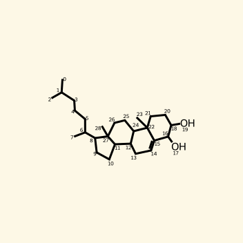 CC(C)CCCC(C)C1CCC2C3CC=C4C(O)C(O)CCC4(C)C3CCC12C